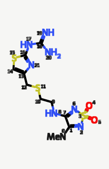 CNC1=NS(=O)(=O)N=C1NCCSCc1csc(NC(=N)N)n1